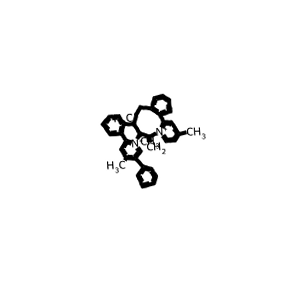 C=C1[n+]2ccc(C)cc2-c2ccccc2CCC2(C)c3ccccc3-c3cc(C)c(-c4ccccc4)c[n+]3C12C